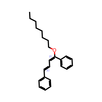 CCCCCCCCO/C(=C/C=C/c1ccccc1)c1ccccc1